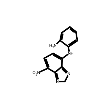 Nc1ccccc1Nc1ccc([N+](=O)[O-])c2c1=NCN=2